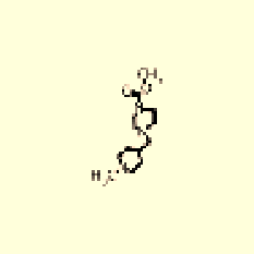 COC(=O)N1CCN(CC2CCN(C)CC2)CC1